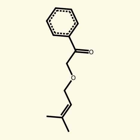 CC(C)=CCOCC(=O)c1ccccc1